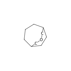 C1CC2CCC(C1)COC2